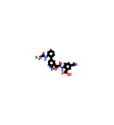 CC(=O)Nc1ccccc1-c1ccc2noc(C(=O)Nc3ccc(C#N)cc3C(=O)O)c2c1